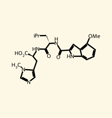 COc1cccc2[nH]c(C(=O)N[C@@H](CC(C)C)C(=O)N[C@@H](Cc3cncn3C)C(=O)O)cc12